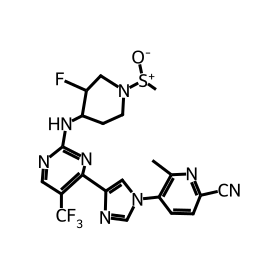 Cc1nc(C#N)ccc1-n1cnc(-c2nc(NC3CCN([S+](C)[O-])CC3F)ncc2C(F)(F)F)c1